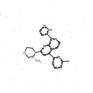 C[C@@H]1COCCN1c1cc(-c2cccc(F)n2)c2ccnc(-c3ccn[nH]3)c2n1